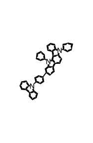 c1ccc(-n2c3ccccc3c3c2ccc2c4ccc(-c5ccc(-n6c7ccccc7c7ccccc76)cc5)cc4n(-c4ccccc4)c23)cc1